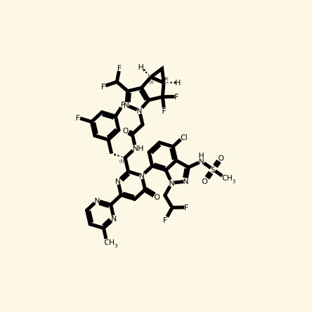 Cc1ccnc(-c2cc(=O)n(-c3ccc(Cl)c4c(NS(C)(=O)=O)nn(CC(F)F)c34)c([C@H](Cc3cc(F)cc(F)c3)NC(=O)Cn3nc(C(F)F)c4c3C(F)(F)[C@@H]3C[C@H]43)n2)n1